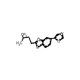 CC(C)CCc1nc2ccc(-c3cnco3)cc2o1